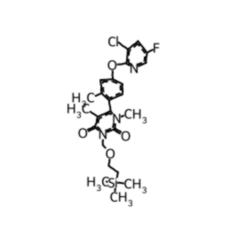 Cc1cc(Oc2ncc(F)cc2Cl)ccc1-c1c(C)c(=O)n(COCC[Si](C)(C)C)c(=O)n1C